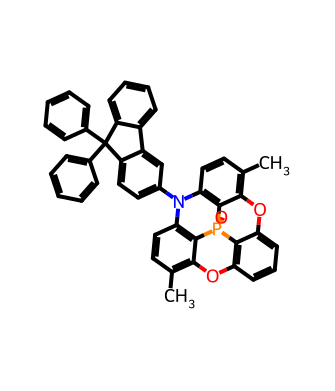 Cc1ccc2c3c1Oc1cccc4c1P3(=O)c1c(ccc(C)c1O4)N2c1ccc2c(c1)-c1ccccc1C2(c1ccccc1)c1ccccc1